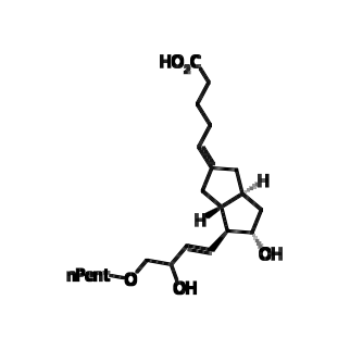 CCCCCOCC(O)C=C[C@H]1[C@@H]2CC(=CCCCC(=O)O)C[C@H]2C[C@@H]1O